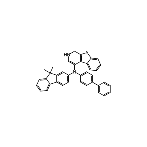 CC1(C)c2ccccc2-c2ccc(N(C3=CNCc4sc5ccccc5c43)c3ccc(-c4ccccc4)cc3)cc21